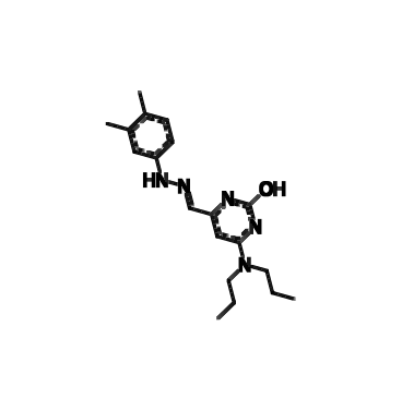 CCCN(CCC)c1cc(/C=N/Nc2ccc(C)c(C)c2)nc(O)n1